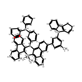 Cc1cc(-c2ccc3c4c(c5ccncc5c3c2)[Si](C)(C)c2c(c3ccccc3c3cnccc23)B4c2cccc(N(c3ccccc3)c3ccccc3)c2)cc(-n2c3c(c4ccccc42)CCC=C3)c1